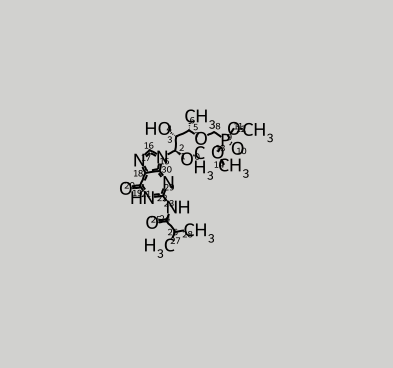 CO[C@H]([C@H](O)[C@H](C)OCP(=O)(OC)OC)n1cnc2c(=O)[nH]c(NC(=O)C(C)C)nc21